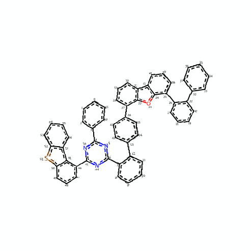 c1ccc(-c2nc(-c3ccccc3-c3ccc(-c4cccc5c4oc4c(-c6ccccc6-c6ccccc6)cccc45)cc3)nc(-c3cccc4sc5ccccc5c34)n2)cc1